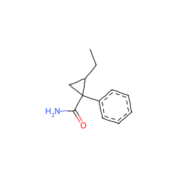 CCC1CC1(C(N)=O)c1ccccc1